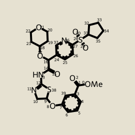 COC(=O)c1cccc(OC2CN=C(NC(=O)C(OC3CCOCC3)c3ccc(S(=O)(=O)C4CCCC4)nc3)S2)c1